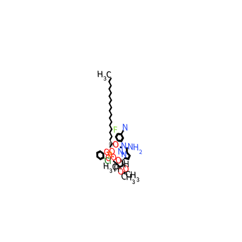 CCCCCCCCCCCCCCCCCCC[C@H](COP(=O)(OC[C@@]1(C)O[C@@H](c2ccc3c(N)ncnn23)[C@@H]2OC(C)(C)O[C@@H]21)Oc1ccccc1Cl)Oc1ccc(C#N)c(F)c1